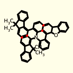 CC1(C)c2ccccc2-c2c(C3=C(N(c4ccccc4C4=CC=CC5c6ccccc6OC45)c4cccc5c4C(C)(C)c4ccccc4-5)CCC=C3)cccc21